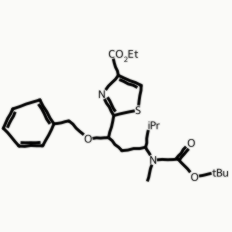 CCOC(=O)c1csc(C(CC(C(C)C)N(C)C(=O)OC(C)(C)C)OCc2ccccc2)n1